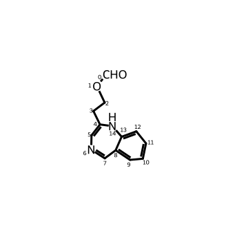 O=COCCC1=CN=Cc2ccccc2N1